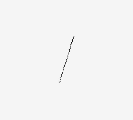 O=C(O)CCCCCCCCCCCCCCCCCCCCCCCCCCCCCCCCCCCCCCI